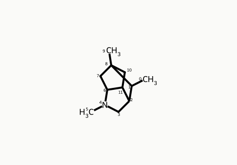 CC1C2CN(C)C3CC1(C)CC23